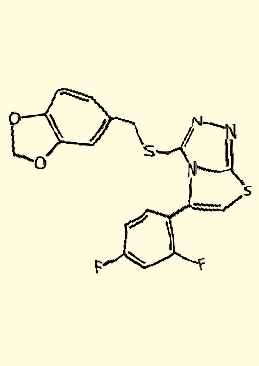 Fc1ccc(-c2csc3nnc(SCc4ccc5c(c4)OCO5)n23)c(F)c1